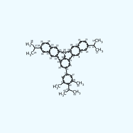 Cc1cc(-c2cc3c4cc5cc(C(C)C)ccc5cc4n4c5cc6ccc(C(C)C)cc6cc5c(c2)c34)cc(C)c1C(C)C